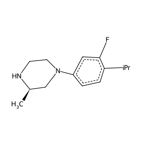 CC(C)c1ccc(N2CCN[C@H](C)C2)cc1F